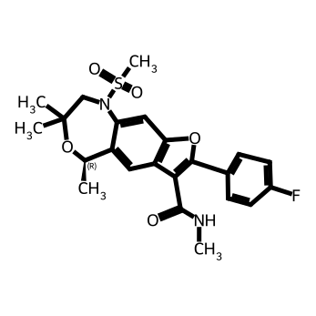 CNC(=O)c1c(-c2ccc(F)cc2)oc2cc3c(cc12)[C@@H](C)OC(C)(C)CN3S(C)(=O)=O